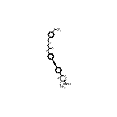 NC[C@H](NC(=O)c1ccc(C#Cc2ccc(NC(=O)CNCc3ccc(SC(F)(F)F)cc3)cc2)cc1)C(=O)NO